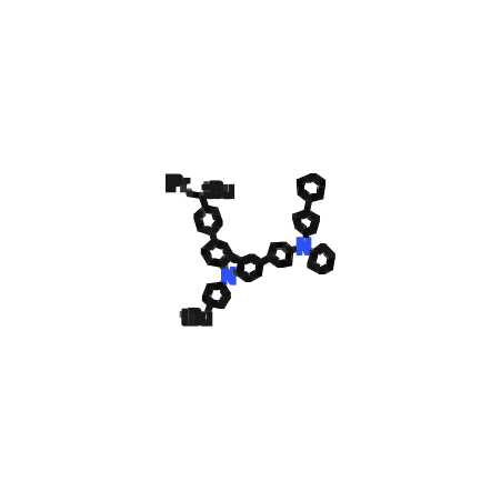 CC(C)CC(c1ccc(-c2ccc3c(c2)c2cc(-c4ccc(N(c5ccccc5)c5ccc(-c6ccccc6)cc5)cc4)ccc2n3-c2ccc(C(C)(C)C)cc2)cc1)C(C)(C)C